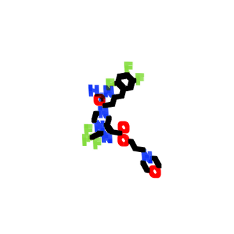 NC(CC(=O)N1CCn2c(C(F)(F)F)nc(C(=O)OCCCN3CCOCC3)c2C1)Cc1cc(F)c(F)cc1F